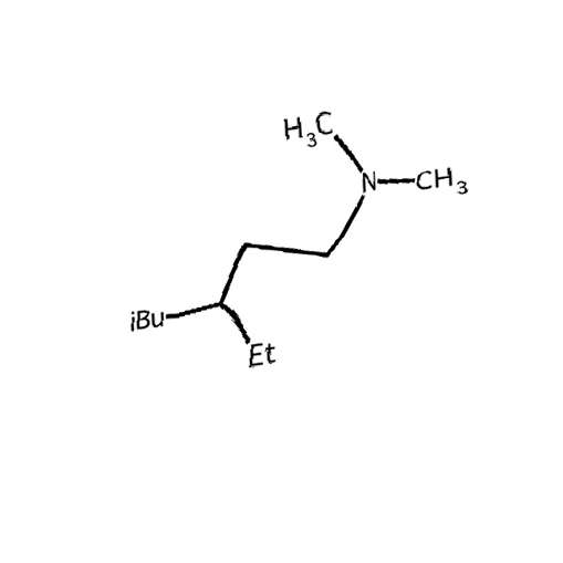 CCC(C)C(CC)CCN(C)C